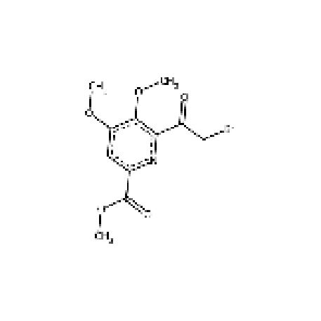 COC(=O)c1cc(OC)c(OC)c(C(=O)CBr)n1